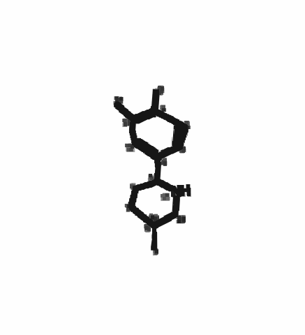 Cc1ccc(C2CC[C@H](C)CN2)cc1C